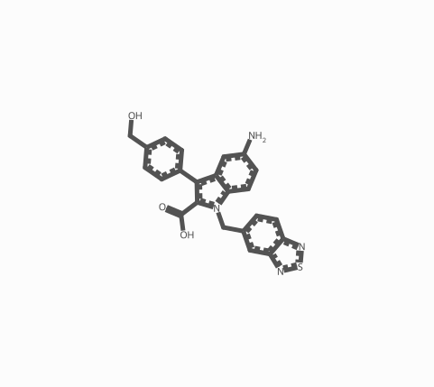 Nc1ccc2c(c1)c(-c1ccc(CO)cc1)c(C(=O)O)n2Cc1ccc2nsnc2c1